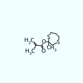 C=C(C)C(=O)OC1(C)CSCCCS1